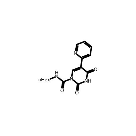 CCCCCCNC(=O)n1cc(-c2ccccn2)c(=O)[nH]c1=O